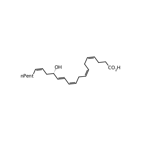 CCCCC/C=C\C[C@H](O)/C=C/C=C\C/C=C\C/C=C\CCC(=O)O